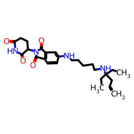 C=CCC(CC)(CC)NCCCCCNc1ccc2c(c1)C(=O)N(C1CCC(=O)NC1=O)C2=O